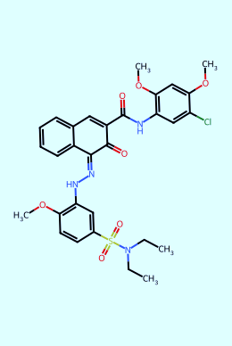 CCN(CC)S(=O)(=O)c1ccc(OC)c(N/N=C2/C(=O)C(C(=O)Nc3cc(Cl)c(OC)cc3OC)=Cc3ccccc32)c1